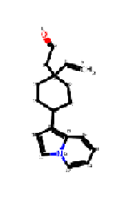 C=CC1(CC=O)CCC(c2ccn3ccccc23)CC1